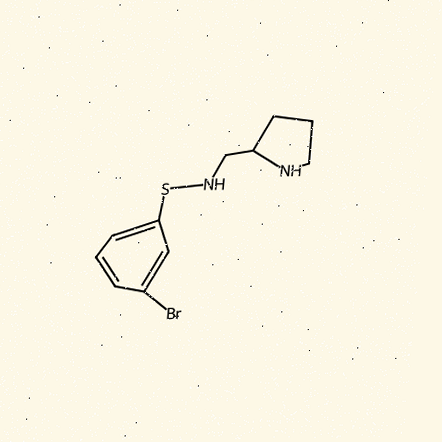 Brc1cccc(SNCC2CCCN2)c1